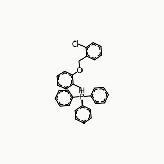 Clc1ccccc1COc1ccccc1C[PH](c1ccccc1)(c1ccccc1)c1ccccc1